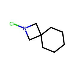 ClN1CC2(CCCCC2)C1